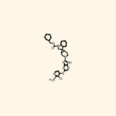 Nc1nccc(Sc2cnc3[nH]c(N4CCC5C(C4)C5(CNC(=O)OCc4ccccc4)c4ccccc4)nc3n2)c1Cl